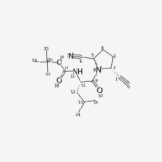 C#C[C@H]1CCC(C#N)N1C(=O)[C@H](CC(C)C)NC(=O)OC(C)(C)C